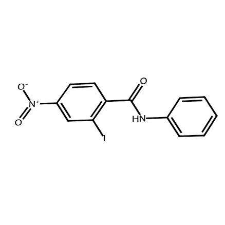 O=C(Nc1ccccc1)c1ccc([N+](=O)[O-])cc1I